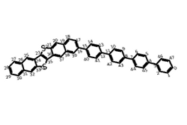 c1ccc(-c2ccc(-c3ccc(-c4ccc(-c5ccc6cc7sc8c9cc%10ccccc%10cc9sc8c7cc6c5)cc4)cc3)cc2)cc1